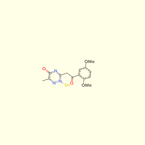 COc1ccc(OC)c(C(=O)Cc2nc(=O)c(C)nn2S)c1